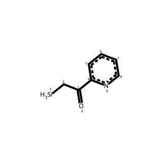 O=C(C[SiH3])c1ccccn1